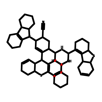 N#CC1CC(C2NC(C3=C4C(CCC3)SC3CC=CCC43)NC(C3CCCCC3)N2)C(N2C3=C(C=CCC3)SC3CCC=CC32)=CC1N1C2=C(CCCC2)C2CCCCC21